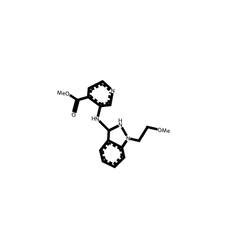 COCCN1NC(Nc2cnccc2C(=O)OC)c2ccccc21